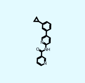 O=C(Nc1ccc(-c2cccc(C3CC3)c2)cn1)c1cccnc1